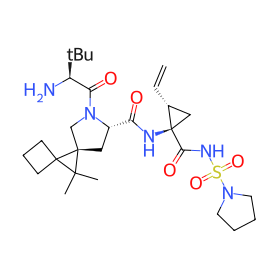 C=C[C@@H]1C[C@]1(NC(=O)[C@@H]1C[C@@]2(CN1C(=O)[C@@H](N)C(C)(C)C)C(C)(C)C21CCC1)C(=O)NS(=O)(=O)N1CCCC1